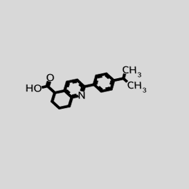 CC(C)c1ccc(-c2ccc3c(n2)CCCC3C(=O)O)cc1